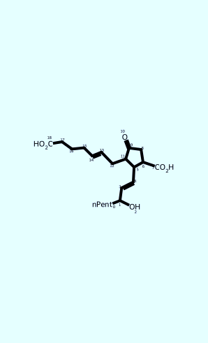 CCCCCC(O)C=CC1C(C(=O)O)CC(=O)C1CC=CCCCC(=O)O